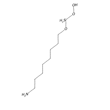 NCCCCCCCCO[SiH2]OO